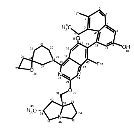 CCc1c(F)ccc2cc(O)cc(-c3c(Cl)cc4c(N5CCCC6(CCO6)C5)nc(OC[C@@]56CCCN5C[C@H](C)C6)nc4c3F)c12